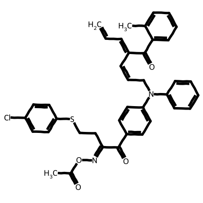 C=C/C=C(\C=C/CN(c1ccccc1)c1ccc(C(=O)/C(CCSc2ccc(Cl)cc2)=N/OC(C)=O)cc1)C(=O)c1ccccc1C